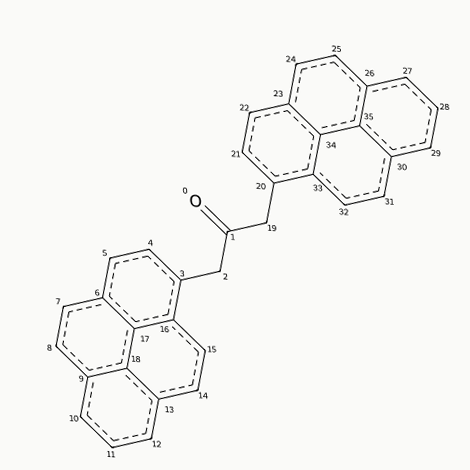 O=C(Cc1ccc2ccc3cccc4ccc1c2c34)Cc1ccc2ccc3cccc4ccc1c2c34